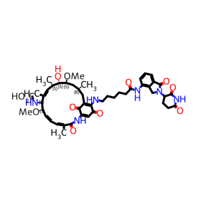 CO[C@H]1C=CC=C(C)C(=O)NC2=CC(=O)C(NCCCCCC(=O)Nc3cccc4c3CN(C3CCC(=O)NC3=O)C4=O)=C(C[C@@H](C)C[C@H](OC)[C@@H](O)[C@@H](C)C=C(C)[C@@H]1NC(=O)O)C2=O